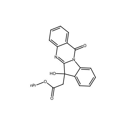 CCCOC(=O)CC1(O)c2ccccc2-n2c1nc1ccccc1c2=O